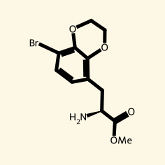 COC(=O)[C@@H](N)Cc1ccc(Br)c2c1OCCO2